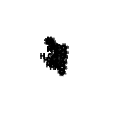 CN(C)CC(C)(C)NS(=O)(=O)NC(=O)Nc1c2c(cc3c1CC(C1Cc4cc5c(c(NC(=O)NS(=O)(=O)N6CCN7CCC6C7)c4C1)CCC5)C3)CCC2